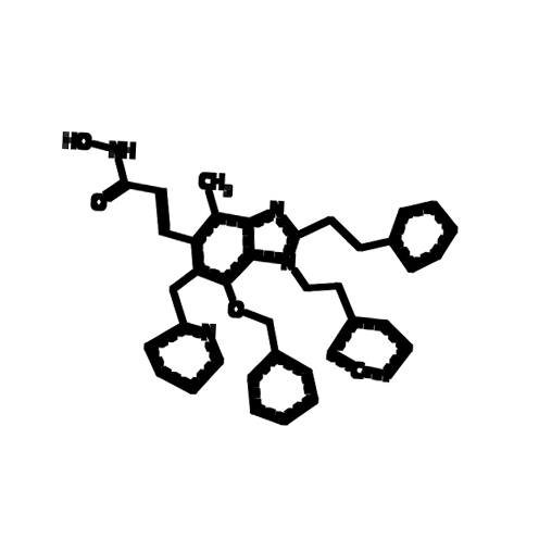 Cc1c(C=CC(=O)NO)c(Cc2ccccn2)c(OCc2ccccc2)c2c1nc(CCc1ccccc1)n2CCc1ccccc1